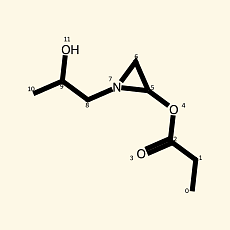 CCC(=O)OC1CN1CC(C)O